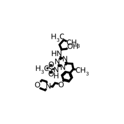 CC(C)CC(CO)Nc1nc(CC(C)c2ccc(OCCN3CCOCC3)cc2)nc(NS(C)(=O)=O)n1